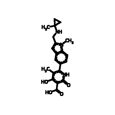 Cc1c(-c2ccc3c(c2)cc(CNC2(C)CC2)n3C)[nH]c(=O)c(C(=O)O)c1O